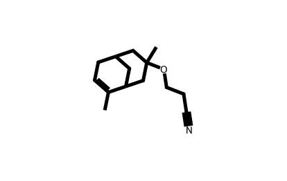 CC1=CCC2CC1CC(C)(OCCC#N)C2